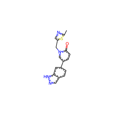 Cc1ncc(Cn2cc(-c3ccc4cn[nH]c4c3)ccc2=O)s1